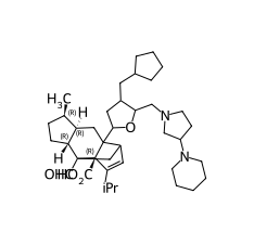 CC(C)C1=CC2CC3(C=O)[C@@H]4CC[C@@H](C)[C@H]4CC2(C2CC(CC4CCCC4)C(CN4CCC(N5CCCCC5)C4)O2)[C@]13C(=O)O